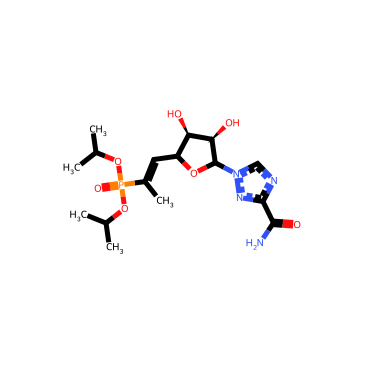 C/C(=C\C1OC(n2cnc(C(N)=O)n2)[C@H](O)[C@@H]1O)P(=O)(OC(C)C)OC(C)C